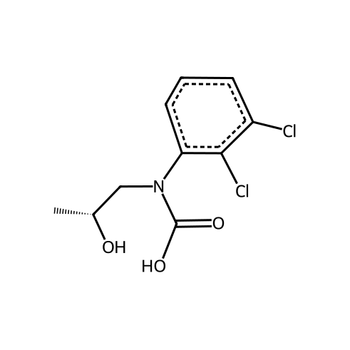 C[C@@H](O)CN(C(=O)O)c1cccc(Cl)c1Cl